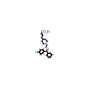 CCOC(=O)/C=C/CC1CCN(CCOC(c2ccccc2)c2ccc(Cl)cc2)CC1